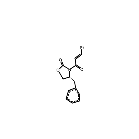 CC/C=C/C(=O)N1C(=O)OC[C@H]1Cc1ccccc1